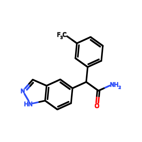 NC(=O)C(c1cccc(C(F)(F)F)c1)c1ccc2[nH]ncc2c1